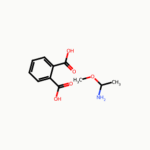 COC(C)N.O=C(O)c1ccccc1C(=O)O